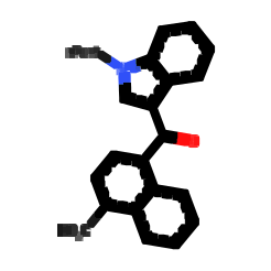 CCCCCn1cc(C(=O)c2ccc(C(=O)O)c3ccccc23)c2ccccc21